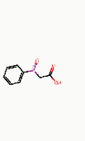 O=C(O)C[PH](=O)c1ccccc1